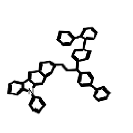 c1ccc(-c2ccc(C(CCc3ccc4cc5c6ccccc6n(-c6ccccc6)c5cc4c3)c3ccc(-c4ccccc4-c4ccccc4)cc3)cc2)cc1